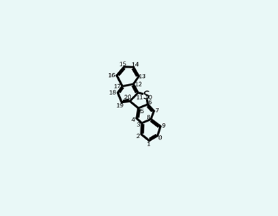 c1ccc2cc3c(cc2c1)sc1c2ccccc2ccc31